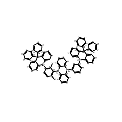 Cc1ccc(N2c3ccccc3C(c3ccccc3)(c3ccccc3)c3ccccc32)c(C)c1B1c2ccccc2N(c2cccc(N3c4ccccc4C(c4ccccc4)(c4ccccc4)c4ccccc43)c2)c2ccccc21